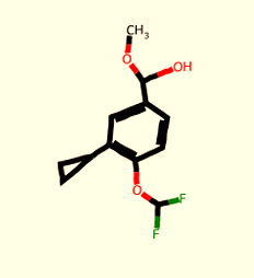 COC(O)c1ccc(OC(F)F)c(C2CC2)c1